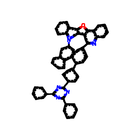 c1ccc(-c2nc(-c3ccccc3)nc(-c3ccc(-c4ccc(-c5nc6ccccc6c6oc7c8ccccc8n(-c8ccc9ccccc9c8)c7c56)cc4)cc3)n2)cc1